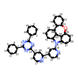 c1ccc(-c2nc(-c3ccccc3)nc(-c3ccnc(-c4ccnc(-n5c6cccc7oc8ccccc8c8cccc5c8c76)c4)c3)n2)cc1